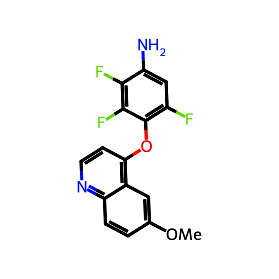 COc1ccc2nccc(Oc3c(F)cc(N)c(F)c3F)c2c1